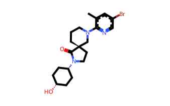 Cc1cc(Br)cnc1N1CCC[C@]2(CCN([C@H]3CC[C@@H](O)CC3)C2=O)C1